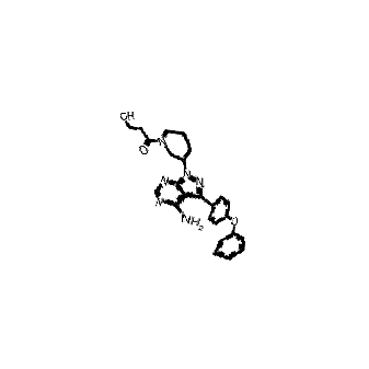 Nc1ncnc2c1c(-c1ccc(Oc3ccccc3)cc1)nn2C1CCCN(C(=O)CCO)C1